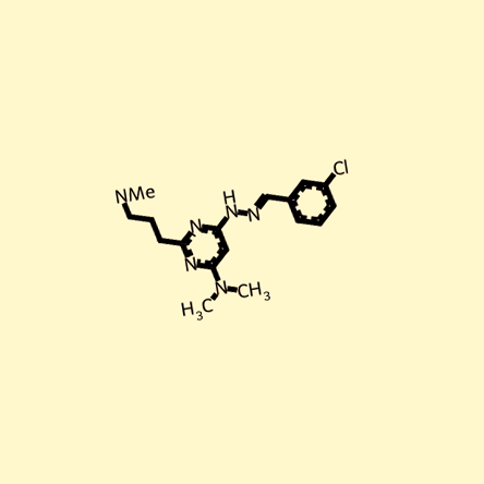 CNCCCc1nc(NN=Cc2cccc(Cl)c2)cc(N(C)C)n1